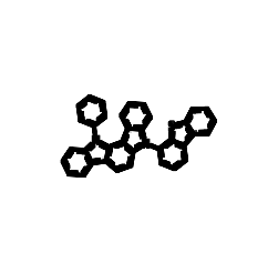 c1ccc(-n2c3ccccc3c3ccc4c(c5ccccc5n4-c4cccc5c4sc4ccccc45)c32)cc1